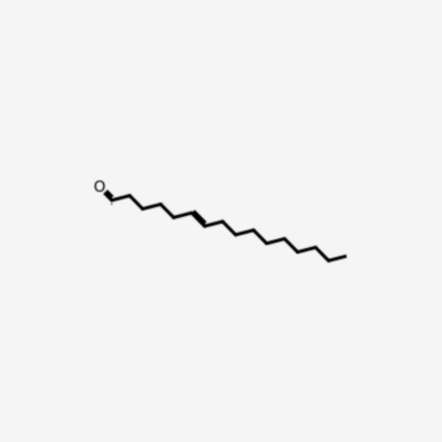 CCCCCCCCCC=CCCCC[C]=O